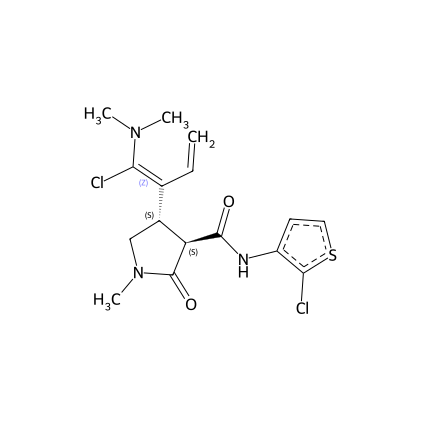 C=C/C(=C(/Cl)N(C)C)[C@H]1CN(C)C(=O)[C@@H]1C(=O)Nc1ccsc1Cl